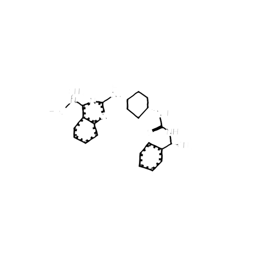 C[C@@H](NC(=S)N[C@H]1CC[C@@H](Nc2nc(N(C)C)c3ccccc3n2)CC1)c1ccccc1